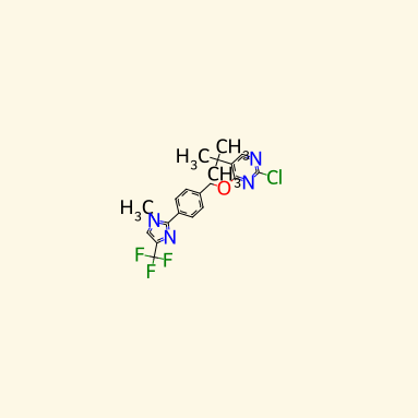 Cn1cc(C(F)(F)F)nc1-c1ccc(COc2nc(Cl)ncc2C(C)(C)C)cc1